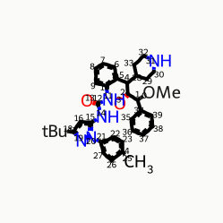 COC(C(=O)C(c1ccccc1NC(=O)Nc1cc(C(C)(C)C)nn1-c1ccc(C)cc1)C1CCNCC1)c1ccccc1